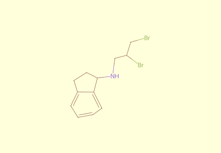 BrCC(Br)CNC1CCc2ccccc21